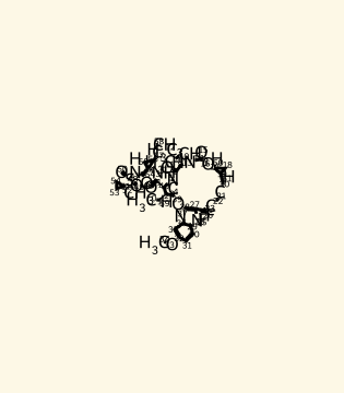 CC[C@@H]1[C@@H]2CN(C(=O)[C@H](C(C)(C)C)NC(=O)O[C@@H]3C[C@H]3CCCCC(F)(F)c3nc4ccc(OC)cc4nc3O2)[C@@H]1C(=O)N[C@]1(C(=O)NS(=O)(=O)C2(C)CC2)C[C@H]1CC